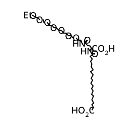 CCOCCOCCOCCOCCOCCOCCOCCNC(=O)CC[C@H](NC(=O)CCCCCCCCCCCCCCCCCCCCC(=O)O)C(=O)O